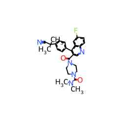 CN(C)C(=O)N1CCN(C(=O)c2cnc3ccc(F)cc3c2-c2ccc(C(C)(C)C#N)cc2)CC1